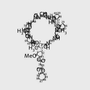 CO[C@@H]1C[C@H](C[C@@H](C)[C@@H]2CC(=O)NCCNC(=O)CN(C)C(=O)[C@H](Cc3ccccc3)NC(=O)[C@H](Cc3ccccc3)NC(=O)[C@H](C)NC(=O)CC[C@@H]3CC[C@@H](C)[C@@](O)(O3)C(=O)C(=O)N3CCCC[C@H]3C(=O)O2)CC[C@H]1OC(=O)CCC(=O)OC1CCCCCCC1